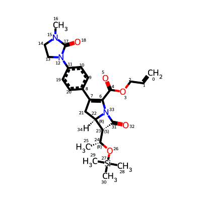 C=CCOC(=O)C1=C(c2ccc(N3CCN(C)C3=O)cc2)C[C@@H]2[C@@H]([C@@H](C)O[Si](C)(C)C)C(=O)N12